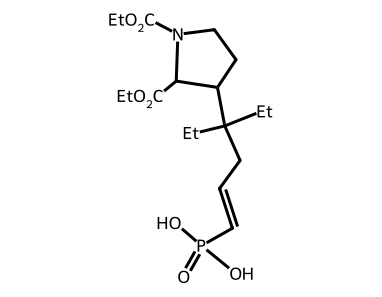 CCOC(=O)C1C(C(CC)(CC)CC=CP(=O)(O)O)CCN1C(=O)OCC